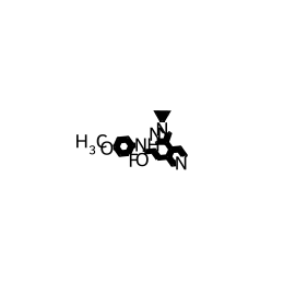 COc1ccc(NC(=O)/C=C/c2cnccc2-c2cnn(C3CC3)c2)c(F)c1